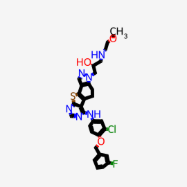 COCCNC[C@@H](O)Cn1ncc2c1CCc1c-2sc2ncnc(Nc3ccc(OCc4cccc(F)c4)c(Cl)c3)c12